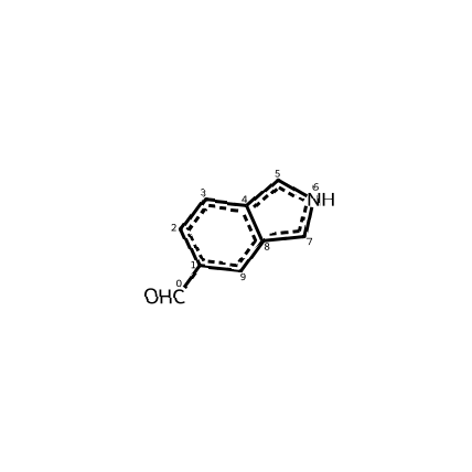 O=Cc1ccc2c[nH]cc2c1